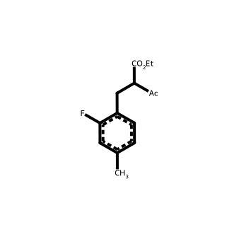 CCOC(=O)C(Cc1ccc(C)cc1F)C(C)=O